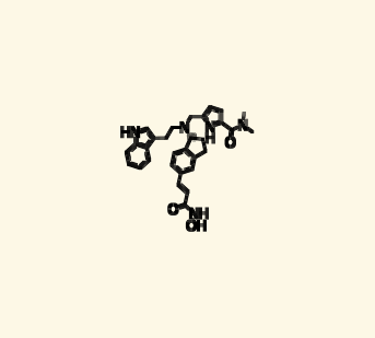 CN(C)C(=O)c1ccc(CN(CCc2c[nH]c3ccccc23)[C@@H]2CCc3cc(C=CC(=O)NO)ccc32)[nH]1